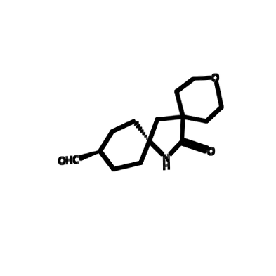 O=C[C@H]1CC[C@]2(CC1)CC1(CCOCC1)C(=O)N2